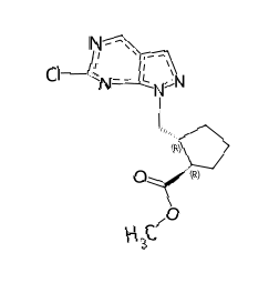 COC(=O)[C@@H]1CCC[C@H]1Cn1ncc2cnc(Cl)nc21